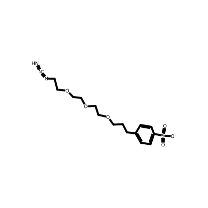 N=[N+]=NCCOCCOCCOCCCc1ccc(S(=O)(=O)[O-])cc1